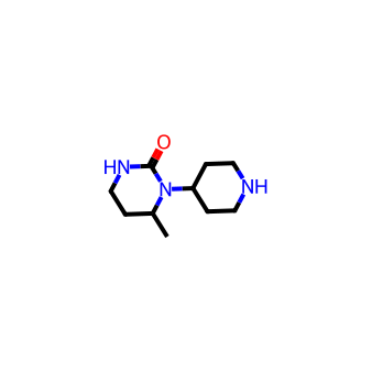 CC1CCNC(=O)N1C1CCNCC1